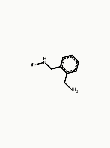 CC(C)NCc1ccccc1CN